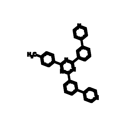 Cc1ccc(-c2nc(-c3cccc(-c4ccncc4)c3)nc(-c3cccc(-c4ccncc4)c3)n2)cc1